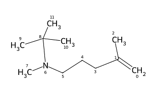 C=C(C)CCCN(C)C(C)(C)C